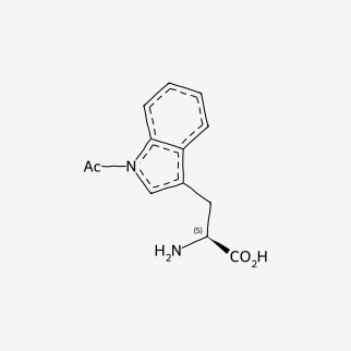 CC(=O)n1cc(C[C@H](N)C(=O)O)c2ccccc21